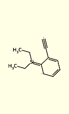 [C]#CC1=CC=C[CH]C1=[Si](CC)CC